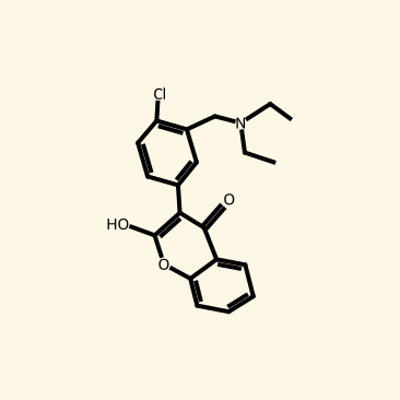 CCN(CC)Cc1cc(-c2c(O)oc3ccccc3c2=O)ccc1Cl